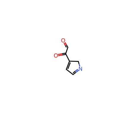 O=CC(=O)C1=CC=NC1